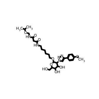 COc1ccc(-c2cn(C3C(OCCCCCCNC(=O)CC(=O)NCOC(C)C)OC(CO)C(O)C3O)nn2)cc1